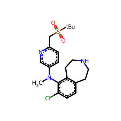 CN(c1ccc(CS(=O)(=O)C(C)(C)C)nc1)c1c(Cl)ccc2c1CCNCC2